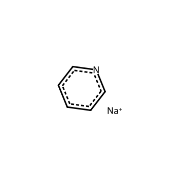 [Na+].c1ccncc1